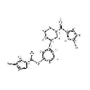 Cc1ccc(C(=O)Oc2cccc(C3CN(C(=O)c4ccc(C)s4)CCO3)c2)s1